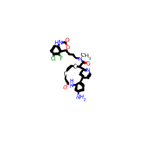 CN(CCCC1OC(=O)Nc2ccc(Cl)c(F)c21)C(=O)C1C/C=C\CCC(=O)Nc2cc(N)ccc2-c2ccnc1c2